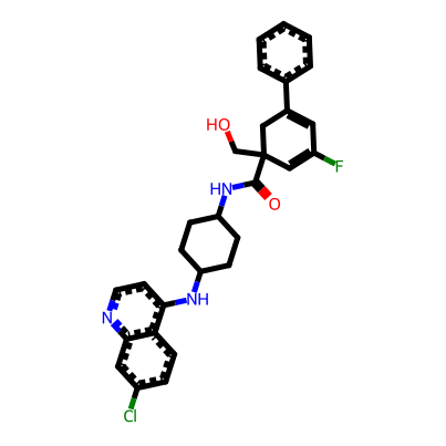 O=C(NC1CCC(Nc2ccnc3cc(Cl)ccc23)CC1)C1(CO)C=C(F)C=C(c2ccccc2)C1